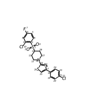 O=S(=O)(c1ccc(F)cc1Cl)C1CCN(c2nc(-c3ccc(Cl)cc3)cs2)CC1